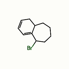 BrC1CCCCC2CC=CC=C12